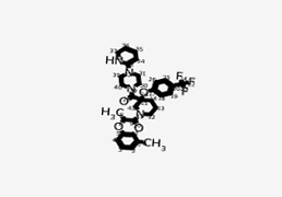 CC1=C=C=CC(OC(C)C(=O)N2CCCC(Oc3ccc(C(F)(F)F)cc3)(C(=O)N3CCN(C4=CC=CCN4)CC3)C2)=C1